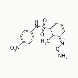 C=C1C(S(=O)(=O)Nc2ccc([N+](=O)[O-])cc2)=CC=C/C1=N/ON